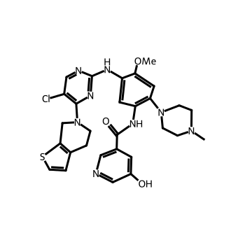 COc1cc(N2CCN(C)CC2)c(NC(=O)c2cncc(O)c2)cc1Nc1ncc(Cl)c(N2CCc3ccsc3C2)n1